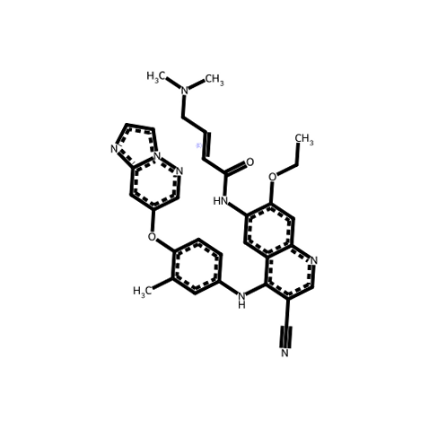 CCOc1cc2ncc(C#N)c(Nc3ccc(Oc4cnn5ccnc5c4)c(C)c3)c2cc1NC(=O)/C=C/CN(C)C